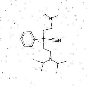 CC(C)N(CCC(C#N)(CCN(C)C)c1ccccc1)C(C)C